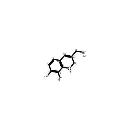 Fc1ccc2c(c1F)OCC(CBr)=C2